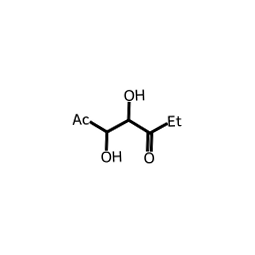 CCC(=O)C(O)C(O)C(C)=O